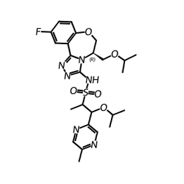 Cc1cnc(C(OC(C)C)C(C)S(=O)(=O)Nc2nnc3n2[C@H](COC(C)C)COc2ccc(F)cc2-3)cn1